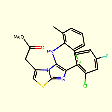 COC(=O)Cc1csc2nc(-c3ccc(F)cc3Cl)c(Nc3c(C)cccc3Cl)n12